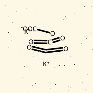 O=C([O-])[O-].O=C=O.O=C=O.[K+].[K+]